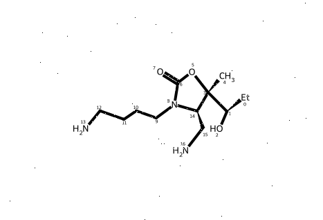 CC[C@@H](O)[C@@]1(C)OC(=O)N(CCCCN)[C@@H]1CN